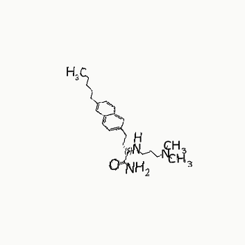 CCCCCc1ccc2cc(CC[C@H](NCCCN(C)C)C(N)=O)ccc2c1